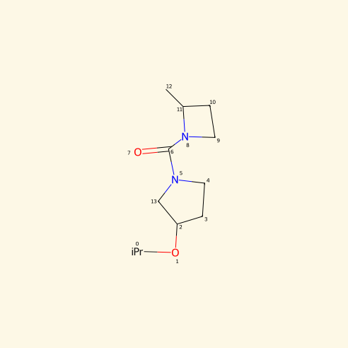 CC(C)OC1CCN(C(=O)N2CCC2C)C1